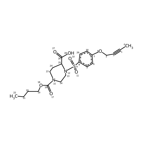 CC#CCOc1ccc(S(=O)(=O)N2CCN(C(=O)OCCCC)CCC2C(=O)O)cc1